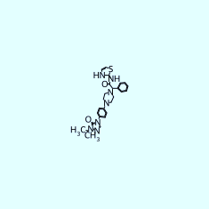 CC(C)n1ncn(-c2ccc(N3CCN(C(C(=O)NC4NC=CS4)c4ccccc4)CC3)cc2)c1=O